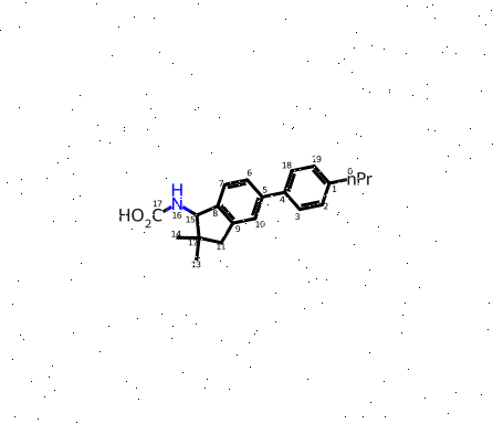 CCCc1ccc(-c2ccc3c(c2)CC(C)(C)C3NC(=O)O)cc1